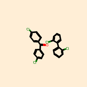 Clc1ccccc1-c1ccccc1Cl.O=C(c1ccc(Cl)cc1)c1ccc(Cl)cc1